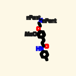 CCCCCN(CCCCC)CCOc1ccc(CCC(=O)NC2CCC(C)CC2)cc1OC